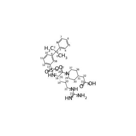 CC(C)(c1ccccc1)c1cccc(S(=O)(=O)N[C@@H](CCCNC(=N)N)C(=O)N2CCC(CC(=O)O)CC2)c1